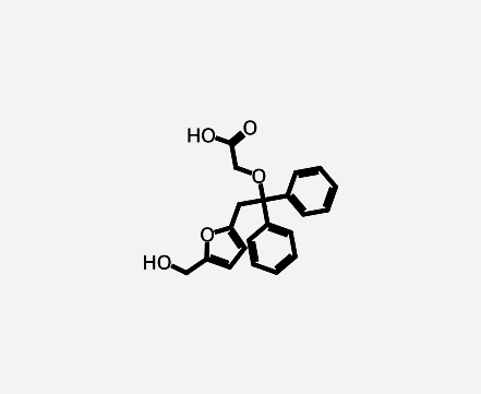 O=C(O)COC(Cc1ccc(CO)o1)(c1ccccc1)c1ccccc1